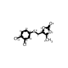 Cc1oc(=O)oc1CSc1ccc(Cl)c(Cl)c1